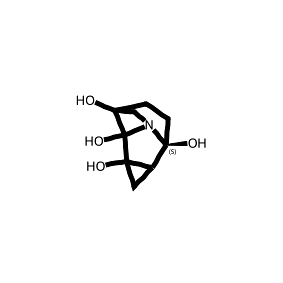 OC12CC[C@]3(O)C4CC4(O)C1(O)N3C2